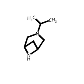 CC(C)N1CC2CC(C1)N2